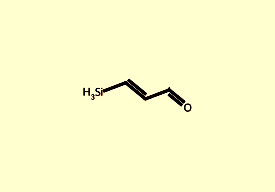 O=[C]C=C[SiH3]